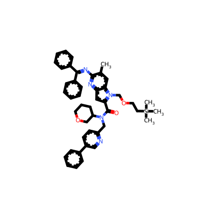 Cc1cc2c(cc(C(=O)N(Cc3ccc(-c4ccccc4)cn3)C3CCCOC3)n2COCC[Si](C)(C)C)nc1N=C(c1ccccc1)c1ccccc1